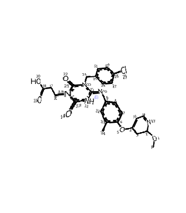 COC1CC(Oc2ccc(/N=c3\[nH]c(=O)n(CCC(=O)O)c(=O)n3Cc3ccc(Cl)cc3)cc2C)=CC=N1